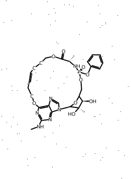 CNc1nc2c3ncn(c3n1)C1OC(COP(=O)(Oc3ccccc3)N[C@@H](C)C(=O)OCCCC=CCCO2)[C@@H](O)[C@@]1(C)O